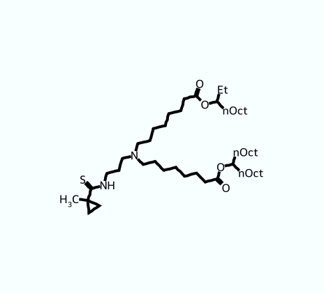 CCCCCCCCC(CC)OC(=O)CCCCCCCN(CCCCCCCC(=O)OC(CCCCCCCC)CCCCCCCC)CCCNC(=S)C1(C)CC1